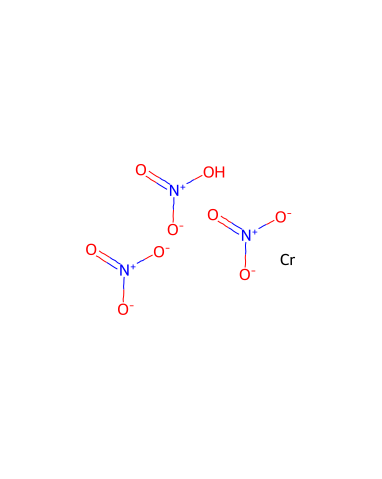 O=[N+]([O-])O.O=[N+]([O-])[O-].O=[N+]([O-])[O-].[Cr]